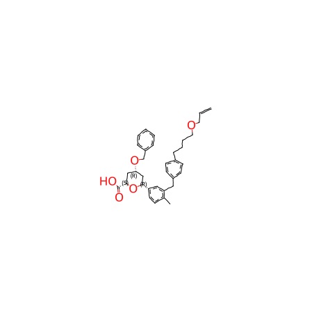 C=CCOCCCCc1ccc(Cc2cc([C@H]3C[C@@H](OCc4ccccc4)C[C@@H](C(=O)O)O3)ccc2C)cc1